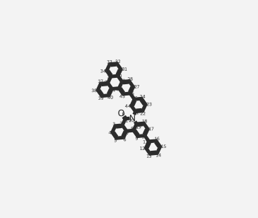 O=c1c2ccccc2c2cc(-c3ccccc3)ccc2n1-c1cccc(-c2ccc3c4ccccc4c4ccccc4c3c2)c1